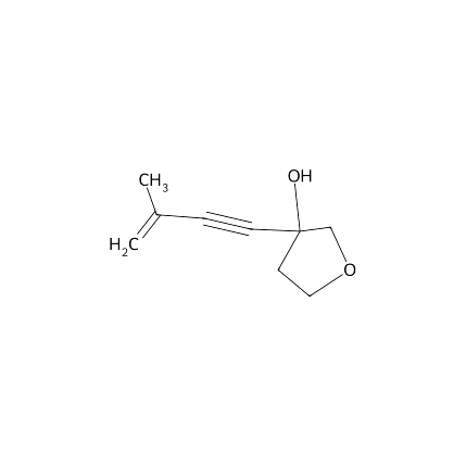 C=C(C)C#CC1(O)CCOC1